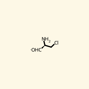 N[C@H]([C]=O)CCl